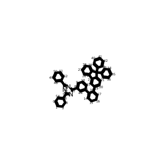 C1=CCCC(C2=NC(c3cccc(C4=CCCC=C4c4ccc5c(c4)-c4ccccc4C5(c4ccccc4)c4ccccc4)c3)N3C(c4ccccc4)N23)=C1